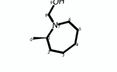 C[C@@H]1CCCCCN1CO